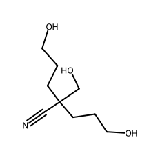 N#CC(CO)(CCCO)CCCO